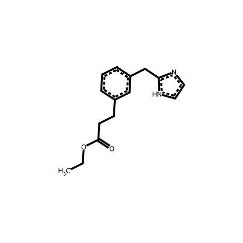 CCOC(=O)CCc1cccc(Cc2ncc[nH]2)c1